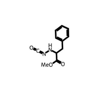 COC(=O)C(Cc1ccccc1)NN=C=O